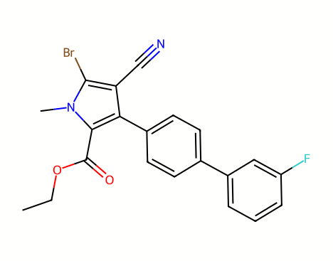 CCOC(=O)c1c(-c2ccc(-c3cccc(F)c3)cc2)c(C#N)c(Br)n1C